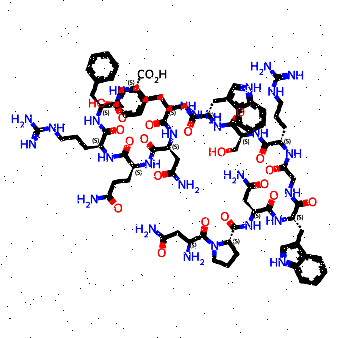 N=C(N)NCCC[C@H](NC(=O)CNC(=O)[C@H](Cc1c[nH]c2ccccc12)NC(=O)[C@H](CC(N)=O)NC(=O)[C@@H]1CCCN1C(=O)[C@@H](N)CC(N)=O)C(=O)N[C@@H](CO)C(=O)N[C@@H](Cc1c[nH]c2ccccc12)C(=O)N[C@@H](Cc1ccc(O)cc1)C(=O)N[C@@H](CC(N)=O)C(=O)N[C@@H](CCC(N)=O)C(=O)N[C@@H](CCCNC(=N)N)C(=O)N[C@@H](Cc1ccccc1)C(=O)N[C@@H](CCCCN)C(=O)O